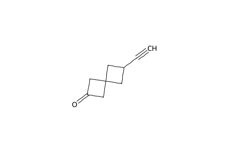 C#CC1CC2(CC(=O)C2)C1